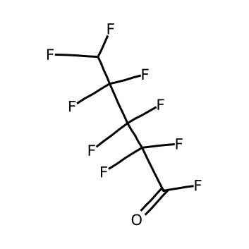 O=C(F)C(F)(F)C(F)(F)C(F)(F)C(F)F